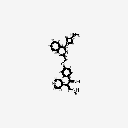 CN/C=C(\C(=N)c1ccc(OCc2nc(N3CC(NC)C3)c3ccccc3n2)cc1)c1ccncc1